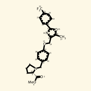 COC(=O)[C@@H]1CCCN1Cc1ccc(OCc2nc(-c3ccc(C(F)(F)F)cc3)oc2C)cc1